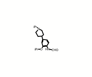 CC(C)Oc1cc(C2CCN(C(C)C)CC2)ccc1NC=O